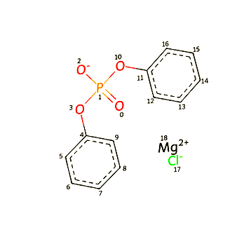 O=P([O-])(Oc1ccccc1)Oc1ccccc1.[Cl-].[Mg+2]